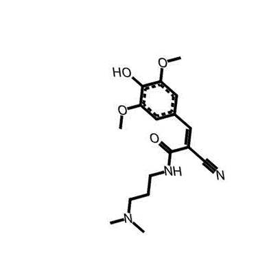 COc1cc(C=C(C#N)C(=O)NCCCN(C)C)cc(OC)c1O